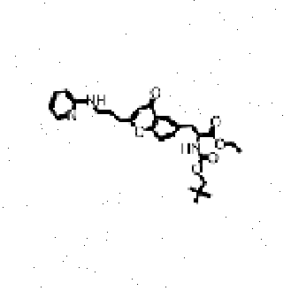 CCOC(=O)C(Cc1ccc2oc(CCCNc3ccccn3)cc(=O)c2c1)NC(=O)OCC(C)(C)C